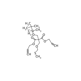 C#CCOC(=O)C(COCSC)(CO[Si](C)(C)C(C)(C)C)C(=O)OCC#C